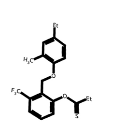 CCC(=S)Oc1cccc(C(F)(F)F)c1COc1ccc(CC)cc1C